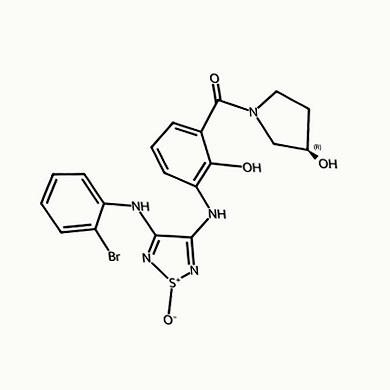 O=C(c1cccc(Nc2n[s+]([O-])nc2Nc2ccccc2Br)c1O)N1CC[C@@H](O)C1